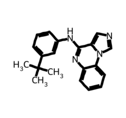 CC(C)(C)c1cccc(Nc2nc3ccccc3n3cncc23)c1